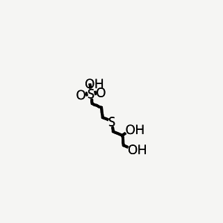 O=S(=O)(O)CCCSCC(O)CO